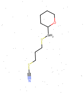 N#CSCCCS[SiH2]C1CCCCO1